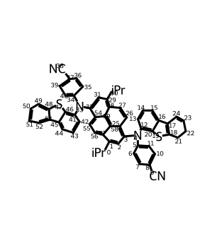 CC(C)c1cc(N(c2ccc(C#N)cc2)c2cccc3c4c(sc23)CCC=C4)c2ccc3c(C(C)C)cc(N(c4ccc(C#N)cc4)c4cccc5c4sc4ccccc45)c4ccc1c2c34